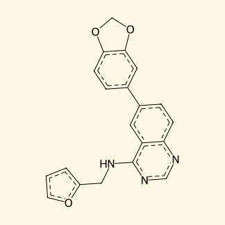 c1coc(CNc2ncnc3ccc(-c4ccc5c(c4)OCO5)cc23)c1